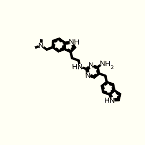 CN(C)Cc1ccc2[nH]cc(CCNc3ncc(Cc4ccc5[nH]ccc5c4)c(N)n3)c2c1